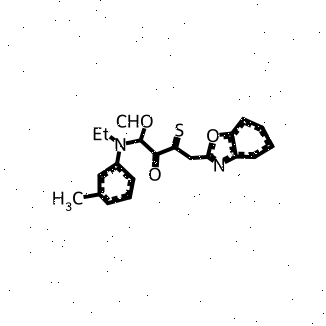 CCN(c1cccc(C)c1)C(C=O)C(=O)C(=S)Cc1nc2ccccc2o1